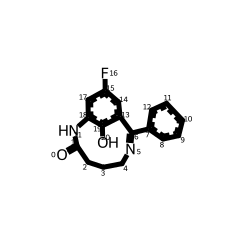 O=C1CCC/N=C(/c2ccccc2)c2cc(F)cc(c2O)N1